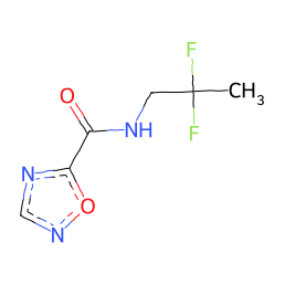 CC(F)(F)CNC(=O)c1ncno1